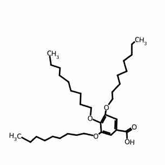 CCCCCCCCCOc1cc(C(=O)O)cc(OCCCCCCCCC)c1OCCCCCCCCC